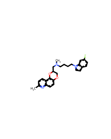 Cc1ccc2c3c(ccc2n1)OCC(CN(C)CCCCn1ccc2ccc(F)cc21)O3